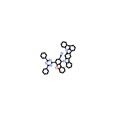 N#Cc1cc(-c2nc(-c3ccccc3)nc(-c3ccccc3)n2)c2oc3ccccc3c2c1-n1c2ccccc2c2cc3c4cccc5c6ccccc6n(c3cc21)c54